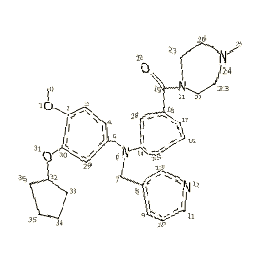 COc1ccc(N(Cc2cccnc2)c2cccc(C(=O)N3CCN(C)CC3)c2)cc1OC1CCCC1